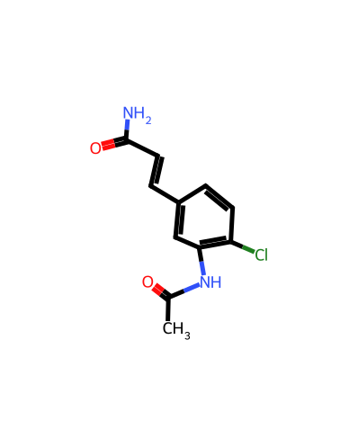 CC(=O)Nc1cc(/C=C/C(N)=O)ccc1Cl